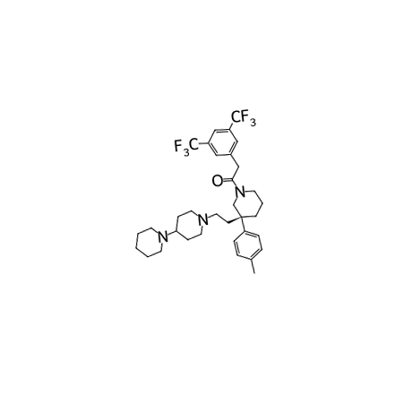 Cc1ccc([C@@]2(CCN3CCC(N4CCCCC4)CC3)CCCN(C(=O)Cc3cc(C(F)(F)F)cc(C(F)(F)F)c3)C2)cc1